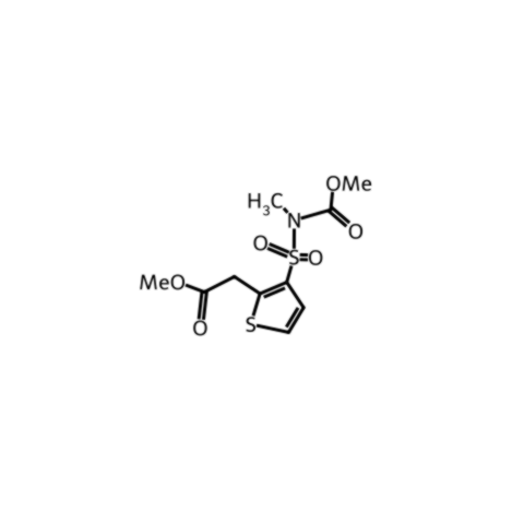 COC(=O)Cc1sccc1S(=O)(=O)N(C)C(=O)OC